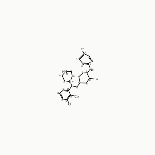 Fc1cnc(NC2CCC(CC(c3cccc(Cl)c3Cl)N3CCNCC3)CC2F)nc1